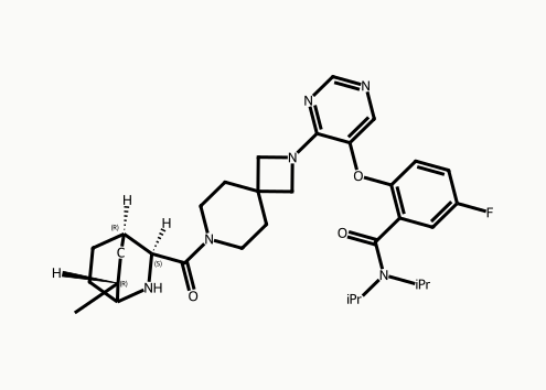 CC(C)N(C(=O)c1cc(F)ccc1Oc1cncnc1N1CC2(CCN(C(=O)[C@H]3NC4CC[C@@H]3C[C@H]4C)CC2)C1)C(C)C